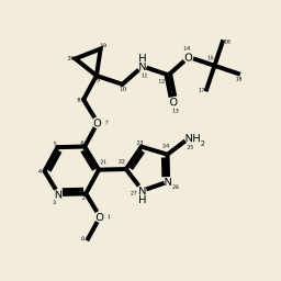 COc1nccc(OCC2(CNC(=O)OC(C)(C)C)CC2)c1-c1cc(N)n[nH]1